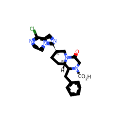 O=C(O)N1CC(=O)N2C[C@@H](c3ncc4c(Cl)nccn34)CC[C@H]2C1Cc1ccccc1